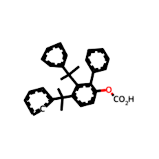 CC(C)(c1ccccc1)c1ccc(OC(=O)O)c(-c2ccccc2)c1C(C)(C)c1ccccc1